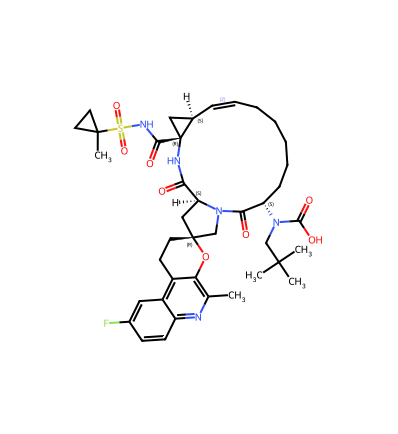 Cc1nc2ccc(F)cc2c2c1O[C@]1(CC2)C[C@H]2C(=O)N[C@]3(C(=O)NS(=O)(=O)C4(C)CC4)C[C@H]3/C=C\CCCCC[C@H](N(CC(C)(C)C)C(=O)O)C(=O)N2C1